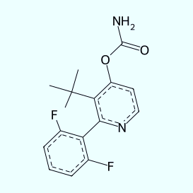 CC(C)(C)c1c(OC(N)=O)ccnc1-c1c(F)cccc1F